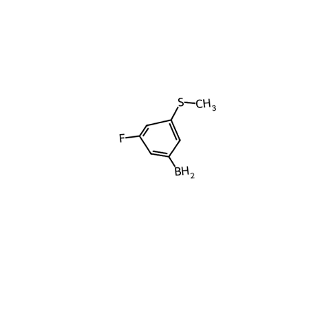 Bc1cc(F)cc(SC)c1